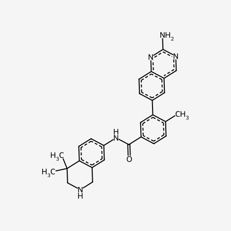 Cc1ccc(C(=O)Nc2ccc3c(c2)CNCC3(C)C)cc1-c1ccc2nc(N)ncc2c1